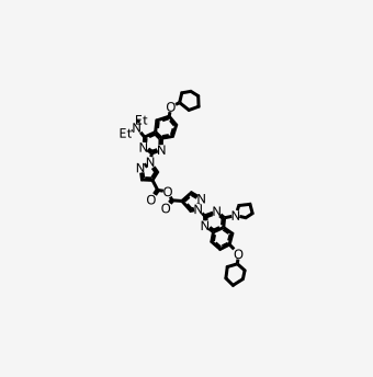 CCN(CC)c1nc(-n2cc(C(=O)OC(=O)c3cnn(-c4nc(N5CCCC5)c5cc(OC6CCCCC6)ccc5n4)c3)cn2)nc2ccc(OC3CCCCC3)cc12